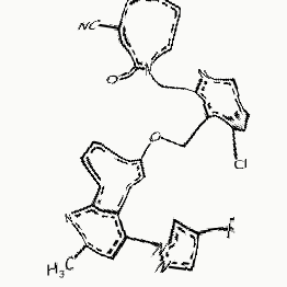 Cc1cc(-n2cc(F)cn2)c2cc(OCc3c(Cl)ccnc3Cn3cccc(C#N)c3=O)ccc2n1